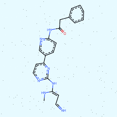 CN/C(=C\C=N)Nc1nccc(-c2ccc(NC(=O)Cc3ccccc3)nc2)n1